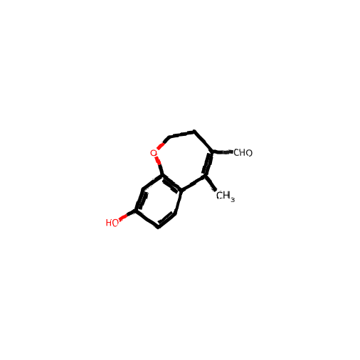 CC1=C(C=O)CCOc2cc(O)ccc21